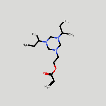 C=CC(=O)OCCN1CN(C(C)CC)CN(C(C)CC)C1